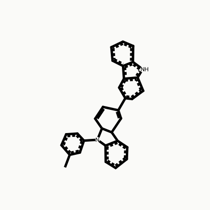 Cc1cccc(N2c3ccccc3C3C=C(c4ccc5[nH]c6ccccc6c5c4)C=CC32)c1